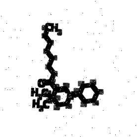 CCCCCCCC(=O)C1=CN(C2CCCCC2)CCC1(C)C